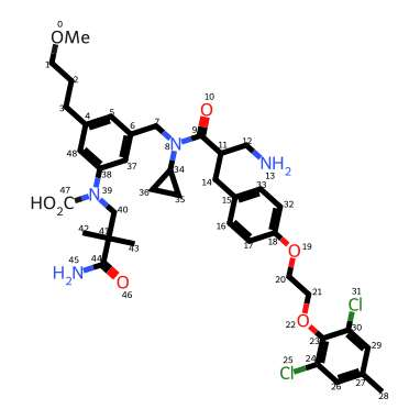 COCCCc1cc(CN(C(=O)C(CN)Cc2ccc(OCCOc3c(Cl)cc(C)cc3Cl)cc2)C2CC2)cc(N(CC(C)(C)C(N)=O)C(=O)O)c1